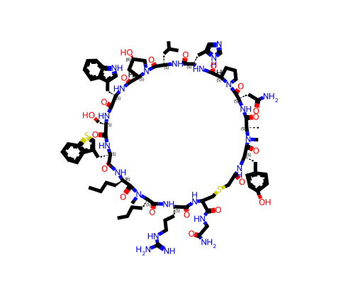 CCCC[C@H]1NC(=O)[C@H](Cc2csc3ccccc23)NC(=O)[C@H](CO)NC(=O)[C@H](Cc2c[nH]c3ccccc23)NC(=O)[C@@H]2C[C@@H](O)CN2C(=O)[C@H](CC(C)C)NC(=O)[C@H](Cc2cnc[nH]2)NC(=O)[C@@H]2CCCN2C(=O)[C@H](CC(N)=O)NC(=O)[C@H](C)N(C)C(=O)[C@H](Cc2ccc(O)cc2)NC(=O)CSCC(C(=O)NCC(N)=O)NC(=O)[C@H](CCCNC(=N)N)NC(=O)[C@H](CCCC)N(C)C1=O